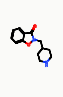 O=c1c2ccccc2on1CC1CCNCC1